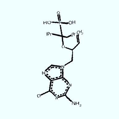 C=C[C@@H](Cn1cnc2c(Cl)nc(N)nc21)OC(C(C)C)(C(C)C)P(=O)(O)O